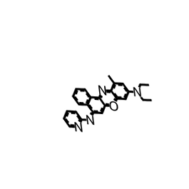 CCN(CC)c1cc(C)c2nc3c4ccccc4/c(=N\c4ccccn4)cc-3oc2c1